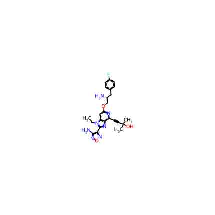 CCn1c(-c2nonc2N)nc2c(C#CC(C)(C)O)nc(OC[C@H](N)Cc3ccc(F)cc3)cc21